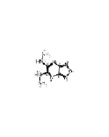 NNc1nc2nonc2nc1NN